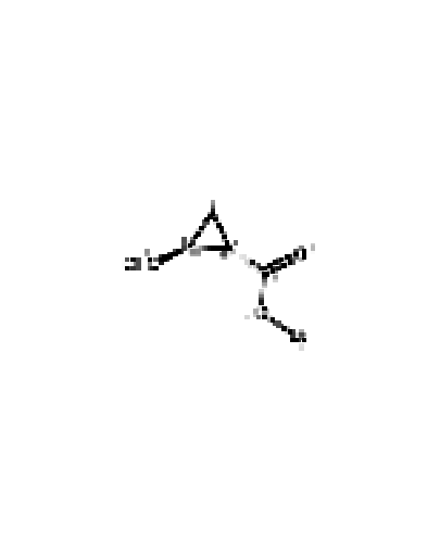 CCOC(=O)[C@H]1C[C@@H]1C=O